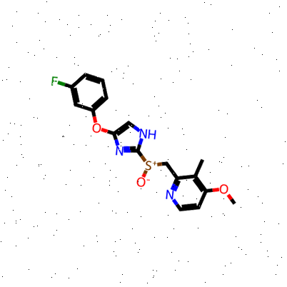 COc1ccnc(C[S+]([O-])c2nc(Oc3cccc(F)c3)c[nH]2)c1C